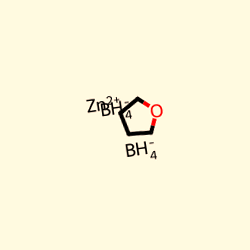 C1CCOC1.[BH4-].[BH4-].[Zn+2]